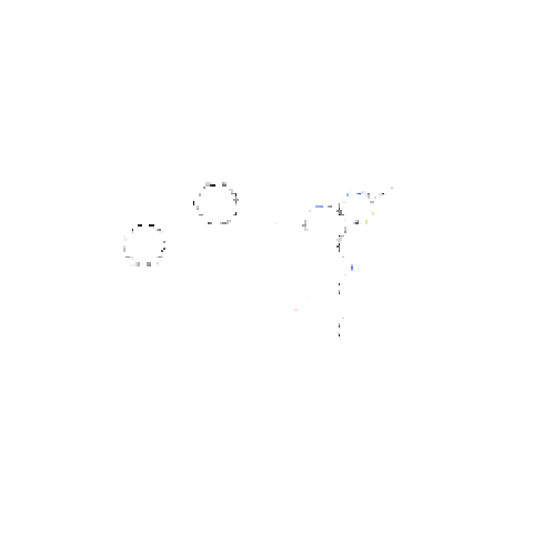 CC(C)CC(CO)Nc1nc(SCc2cccc(Oc3ccccc3)c2)nc2nc(N)sc12